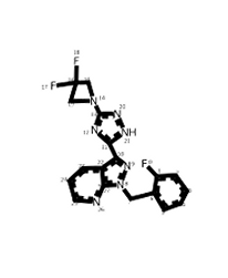 Fc1ccccc1Cn1nc(-c2nc(N3CC(F)(F)C3)n[nH]2)c2cccnc21